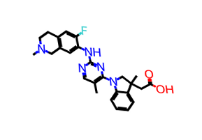 Cc1cnc(Nc2cc3c(cc2F)CCN(C)C3)nc1N1CC(C)(CC(=O)O)c2ccccc21